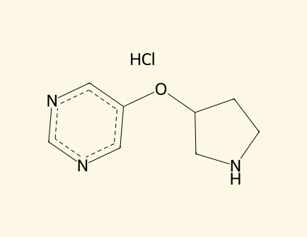 Cl.c1ncc(OC2CCNC2)cn1